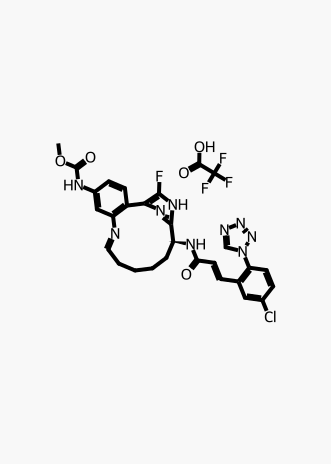 COC(=O)Nc1ccc2c(c1)/N=C/CCCC[C@H](NC(=O)/C=C/c1cc(Cl)ccc1-n1cnnn1)c1nc-2c(F)[nH]1.O=C(O)C(F)(F)F